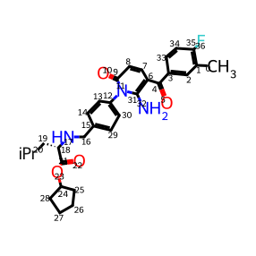 Cc1cc(C(=O)c2ccc(=O)n(-c3ccc(CN[C@@H](CC(C)C)C(=O)OC4CCCC4)cc3)c2N)ccc1F